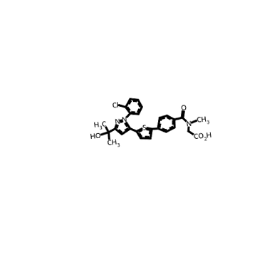 CN(CC(=O)O)C(=O)c1ccc(-c2ccc(-c3cc(C(C)(C)O)nn3-c3ccccc3Cl)s2)cc1